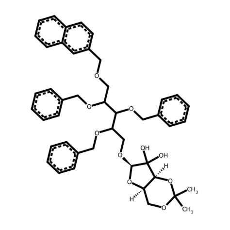 CC1(C)OC[C@H]2O[C@@H](OCC(OCc3ccccc3)C(OCc3ccccc3)C(COCc3ccc4ccccc4c3)OCc3ccccc3)C(O)(O)[C@H]2O1